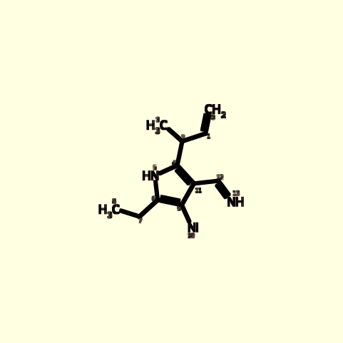 C=CC(C)c1[nH]c(CC)[c]([Ni])c1C=N